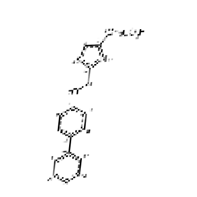 O=C(O)Oc1csc(COc2ccc(-c3ccccc3)cc2)n1